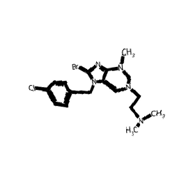 CN(C)CCN1C=C2C(=NC(Br)N2Cc2ccc(Cl)cc2)N(C)C1